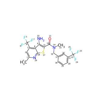 Cc1cc(C(F)(F)F)c2c(N)c(C(=O)N(C)Cc3cccc(C(F)(F)F)c3)sc2n1